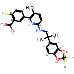 Cc1ccc(NCC(C)(C)c2ccc3c(c2)OC(F)(F)O3)nc1-c1ccc(F)c(C(=O)O)c1